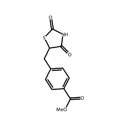 COC(=O)c1ccc(CC2SC(=O)NC2=O)cc1